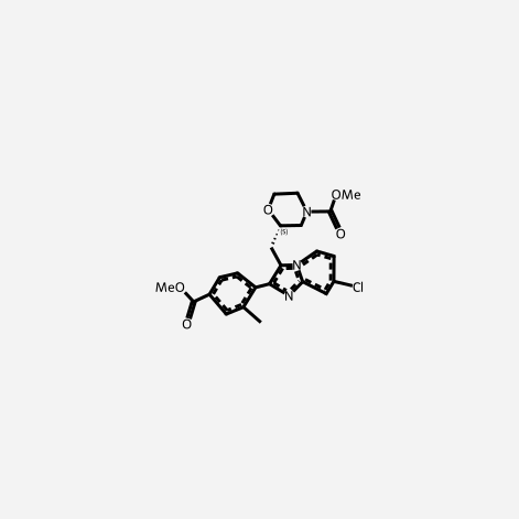 COC(=O)c1ccc(-c2nc3cc(Cl)ccn3c2C[C@H]2CN(C(=O)OC)CCO2)c(C)c1